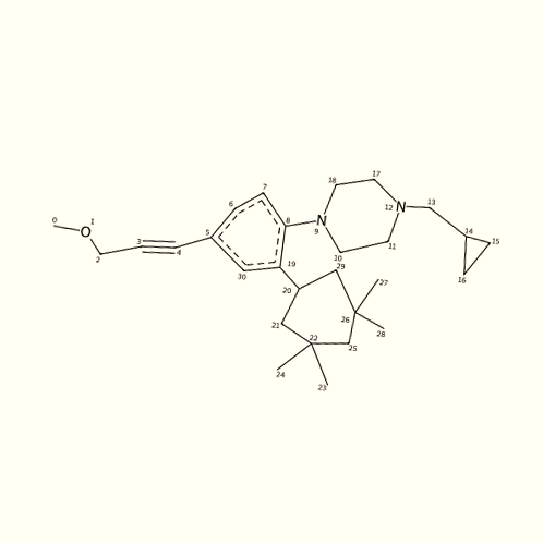 COCC#Cc1ccc(N2CCN(CC3CC3)CC2)c(C2CC(C)(C)CC(C)(C)C2)c1